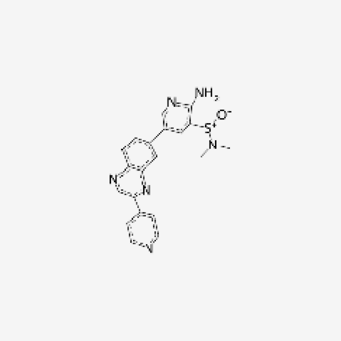 CN(C)[S+]([O-])c1cc(-c2ccc3ncc(-c4ccncc4)nc3c2)cnc1N